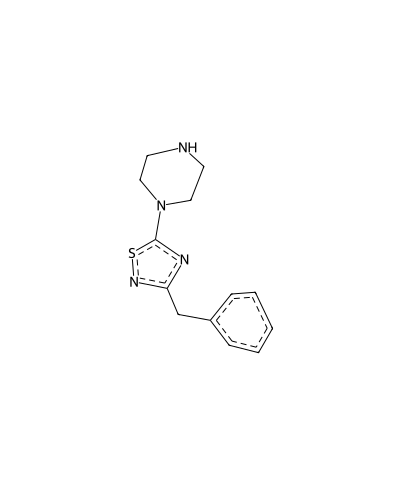 c1ccc(Cc2nsc(N3CCNCC3)n2)cc1